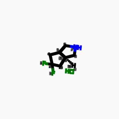 Cl.FC1(F)CC2CNC[C@H]2C1